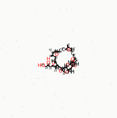 C=C1C[C@@H]2CC[C@@]34C[C@H]5OC6[C@@H](O[C@H]7CCC(CC(=O)C[C@@H]8[C@@H](C)[C@@H](C[C@H](O)CO)O[C@H]8CC8O[C@@H](CCC1O2)C[C@@H](C)C8=C)O[C@@H]7[C@@H]6O3)[C@H]5O4